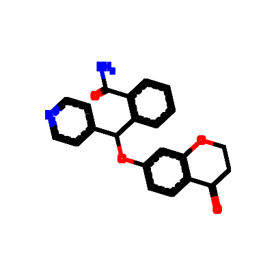 NC(=O)c1ccccc1C(Oc1ccc2c(c1)OCCC2=O)c1ccncc1